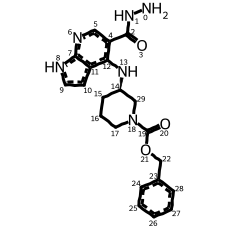 NNC(=O)c1cnc2[nH]ccc2c1N[C@@H]1CCCN(C(=O)OCc2ccccc2)C1